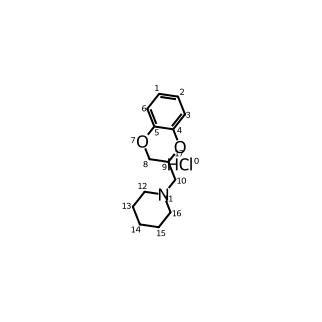 Cl.c1ccc2c(c1)OCC(CN1CCCCC1)O2